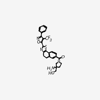 NC1(CO)CCN(C(=O)c2ccc3c(c2)CCc2nc(-c4onc(-c5ccccc5)c4C(F)(F)F)sc2-3)C1